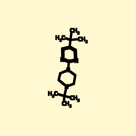 CC(C)(C)c1cnc(N2CCN(C(C)(C)C)CC2)nc1